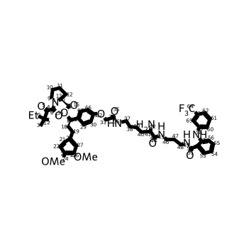 CCC(C)(C)C(=O)C(=O)N1CCCC[C@H]1C(=O)O[C@H](CCc1ccc(OC)c(OC)c1)c1ccc(OCC(=O)NCCCCC(N)C(=O)NCCCNC(=O)c2ccccc2Nc2cccc(C(F)(F)F)c2)cc1